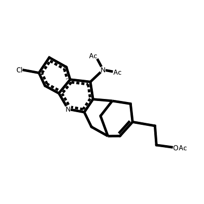 CC(=O)OCCC1=CC2Cc3nc4cc(Cl)ccc4c(N(C(C)=O)C(C)=O)c3C(C1)C2